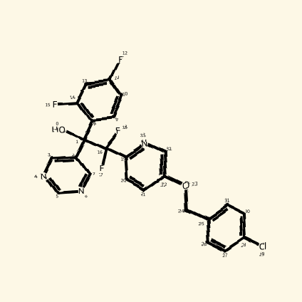 OC(c1cncnc1)(c1ccc(F)cc1F)C(F)(F)c1ccc(OCc2ccc(Cl)cc2)cn1